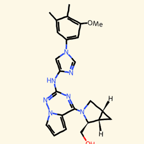 COc1cc(-n2cnc(Nc3nc(N4C[C@@H]5C[C@@H]5[C@H]4CO)c4cccn4n3)c2)cc(C)c1C